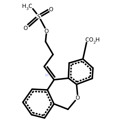 CS(=O)(=O)OCC/C=C1/c2ccccc2COc2ccc(C(=O)O)cc21